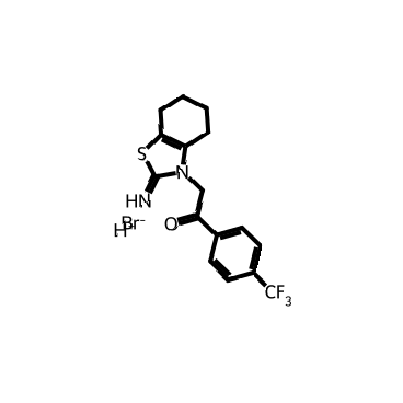 N=c1sc2c(n1CC(=O)c1ccc(C(F)(F)F)cc1)CCCC2.[Br-].[H+]